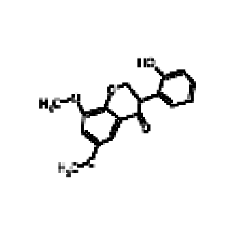 COc1cc(OC)c2c(c1)C(=O)C(c1ccccc1O)CO2